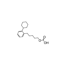 O=C(O)OCCCCCc1ccccc1C1CCCCC1